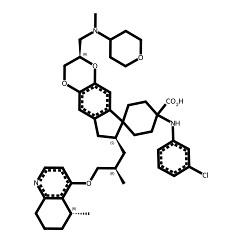 C[C@@H](COc1ccnc2c1[C@H](C)CCC2)C[C@H]1Cc2cc3c(cc2C12CCC(Nc1cccc(Cl)c1)(C(=O)O)CC2)O[C@H](CN(C)C1CCOCC1)CO3